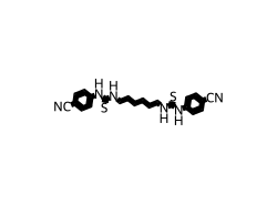 N#Cc1ccc(NC(=S)NCCCCCCNC(=S)Nc2ccc(C#N)cc2)cc1